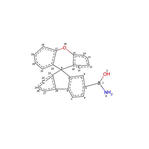 NB(O)c1ccc2c(c1)C1(c3ccccc3Oc3ccccc31)c1ccccc1-2